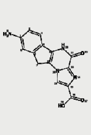 Nc1ccc2c(c1)Cc1c-2[nH]c(=O)c2nc(C(=O)O)cn12